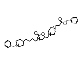 O=C(CCN1CCN(CC2CN(CCCCC3CCN(Cc4ccccc4)CC3)C(=O)O2)CC1)OCc1ccccc1